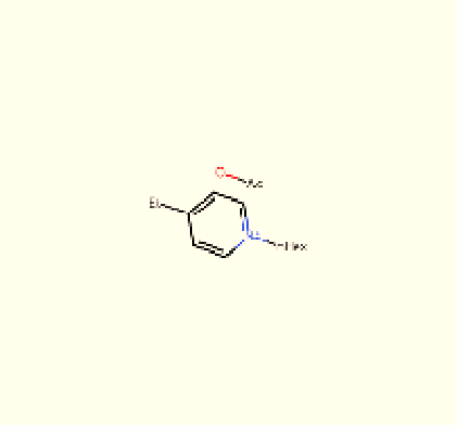 CC(=O)[O-].CCCCCC[n+]1ccc(CC)cc1